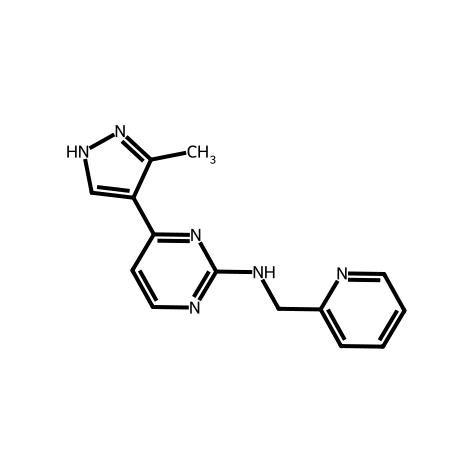 Cc1n[nH]cc1-c1ccnc(NCc2ccccn2)n1